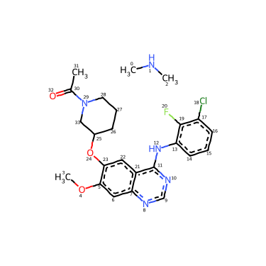 CNC.COc1cc2ncnc(Nc3cccc(Cl)c3F)c2cc1OC1CCCN(C(C)=O)C1